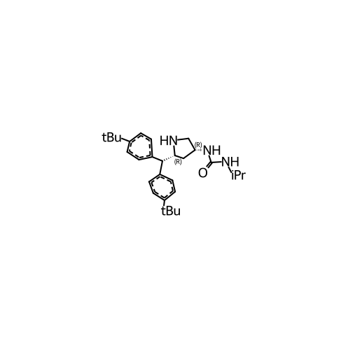 CC(C)NC(=O)N[C@H]1CN[C@@H](C(c2ccc(C(C)(C)C)cc2)c2ccc(C(C)(C)C)cc2)C1